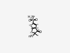 CCCC1(C)Sc2sc(S(N)(=O)=O)cc2C1=O